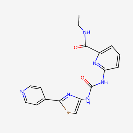 CCNC(=O)c1cccc(NC(=O)Nc2csc(-c3ccncc3)n2)n1